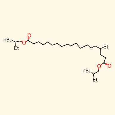 CCCCC(CC)COC(=O)CCCCCCCCCCCCCCC(CC)CCC(=O)OCC(CC)CCCC